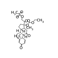 CCOC(=O)O[C@]1(C(=O)COS(C)(=O)=O)CC[C@H]2[C@@H]3CCC4=CC(=O)C=C[C@]4(C)[C@H]3C(=O)C[C@@]21C